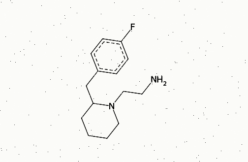 NCCN1CCCCC1Cc1ccc(F)cc1